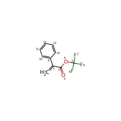 C=C(C(=O)OC(F)(F)F)c1ccccc1